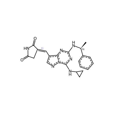 C[C@H](Nc1nc(NC2CC2)n2ncc(/C=C3\CC(=O)NC3=O)c2n1)c1ccccc1